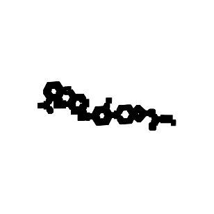 CP(C)c1ccccc1Nc1nc(Nc2ccc(N3CCC4(CC3)CC(OC(N)=O)C4)c(F)c2)ncc1Cl